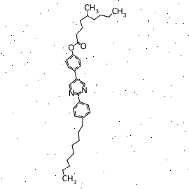 CCCCCCCCCc1ccc(-c2ncc(-c3ccc(OC(=O)CCCC(C)CCCC)cc3)cn2)cc1